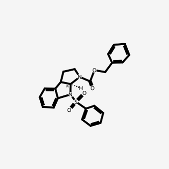 O=C(OCc1ccccc1)N1CCC2c3ccccc3N(S(=O)(=O)c3ccccc3)[C@@H]21